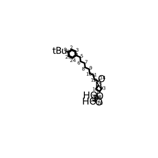 CC(C)(C)c1ccc(CCCCCCCCC(=O)N2CC(OP(=O)(O)O)C2)cc1